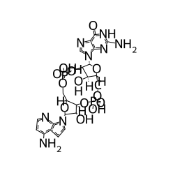 Nc1nc2c(ncn2[C@@H]2O[C@@H]3COP(=O)(O)O[C@H]4[C@@H](O)[C@H](n5ccc6c(N)ccnc65)O[C@@H]4COP(=O)(O)O[C@@H]2[C@@H]3O)c(=O)[nH]1